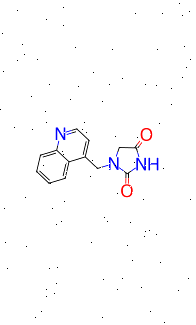 O=C1CN(Cc2ccnc3ccccc23)C(=O)N1